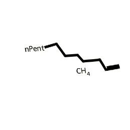 C.C=CCCCCCCCCCC